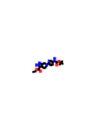 CCOC(=O)c1[nH]nc2c1CCN(c1ccc(NC(=O)OC(C)(C)C)cn1)C2